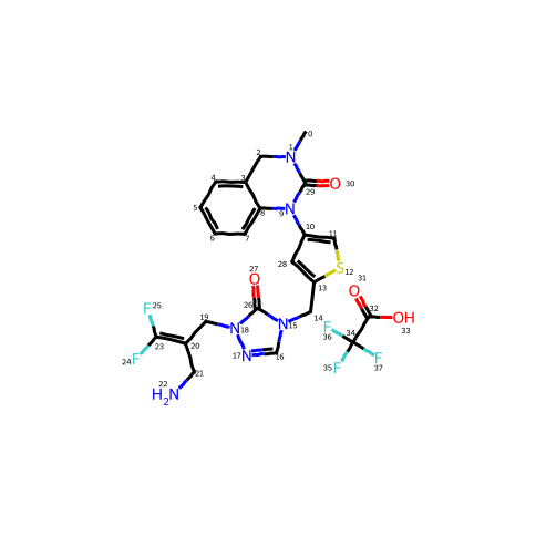 CN1Cc2ccccc2N(c2csc(Cn3cnn(CC(CN)=C(F)F)c3=O)c2)C1=O.O=C(O)C(F)(F)F